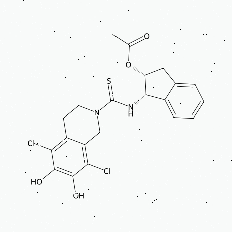 CC(=O)O[C@@H]1Cc2ccccc2[C@@H]1NC(=S)N1CCc2c(Cl)c(O)c(O)c(Cl)c2C1